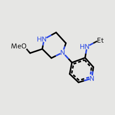 CCNc1cnccc1N1CCNC(COC)C1